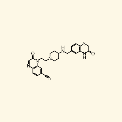 N#Cc1ccc2ncc(=O)n(CCN3CCC(NCc4ccc5c(c4)NC(=O)CS5)CC3)c2c1